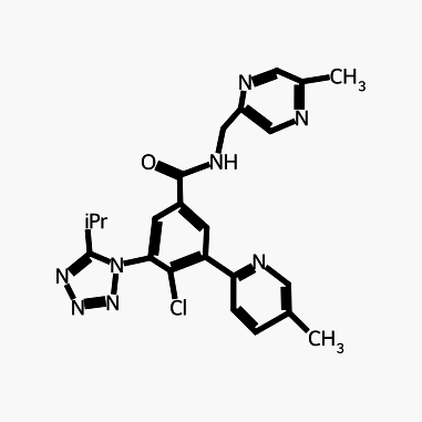 Cc1ccc(-c2cc(C(=O)NCc3cnc(C)cn3)cc(-n3nnnc3C(C)C)c2Cl)nc1